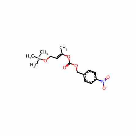 CC(=CCO[Si](C)(C)C)OC(=O)OCc1ccc([N+](=O)[O-])cc1